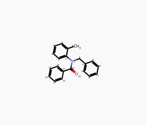 Cc1ccccc1N(Cc1ccccc1)C(=O)c1ccccc1